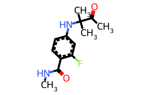 CNC(=O)c1ccc(NC(C)(C)C(C)=O)cc1F